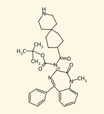 CN1C(=O)[C@@H](N(C(=O)OC(C)(C)C)C(=O)C2CCC3(CCNCC3)CC2)N=C(c2ccccc2)c2ccccc21